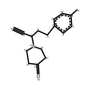 C#CC(CCc1ccc(C)cc1)N1CCC(=O)CC1